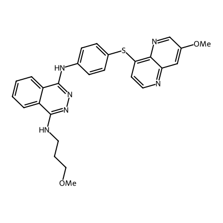 COCCCNc1nnc(Nc2ccc(Sc3ccnc4cc(OC)cnc34)cc2)c2ccccc12